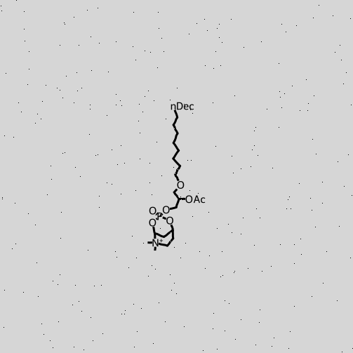 CCCCCCCCCCCCCCCCCCOCC(COP1(=O)OC2CC[N+](C)(C)C(C2)O1)OC(C)=O